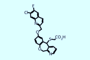 O=C(O)CSC1c2cc(OCc3ccc4cc(F)c(Cl)cc4n3)ccc2OCc2ncccc21